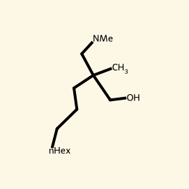 CCCCCCCCCC(C)(CO)CNC